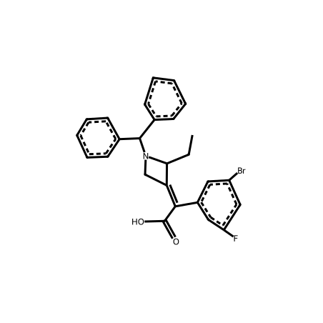 CCC1C(=C(C(=O)O)c2cc(F)cc(Br)c2)CN1C(c1ccccc1)c1ccccc1